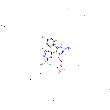 Cc1cc(-c2c(OCC3COC3)nc(N)nc2-c2ccc(F)cc2)cc(C(F)F)n1